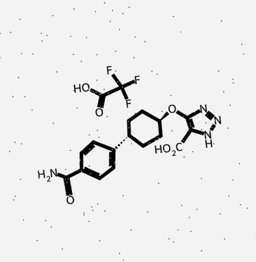 NC(=O)c1ccc([C@H]2CC[C@H](Oc3nn[nH]c3C(=O)O)CC2)cc1.O=C(O)C(F)(F)F